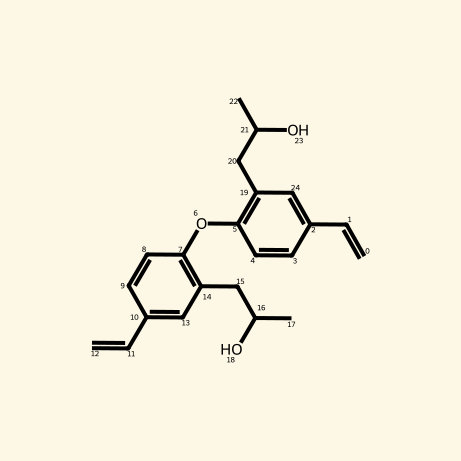 C=Cc1ccc(Oc2ccc(C=C)cc2CC(C)O)c(CC(C)O)c1